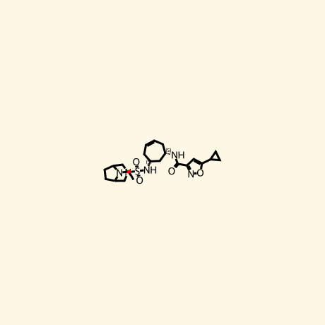 CCN1C2CCC1CN(S(=O)(=O)N[C@H]1CC=CC[C@H](NC(=O)c3cc(C4CC4)on3)C1)C2